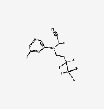 Cc1cccc(N(CCC(F)(F)C(F)(F)F)C(C)C#N)c1